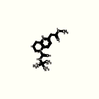 COC(=O)Cc1ccc2c(n1)CCCN2C(=O)OC(C)(C)C